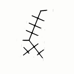 OCC(F)(F)C(F)(F)C(F)(F)C(O)C(O)(C(F)(F)F)C(F)(F)F